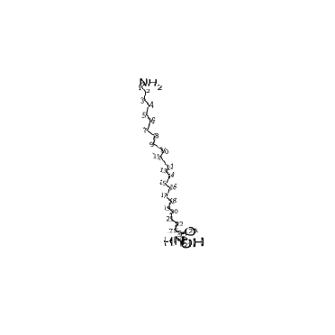 NCCCCCCCCCCCCCCCCCCCCCCCC(=O)NO